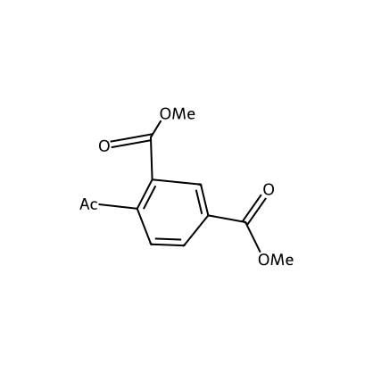 COC(=O)c1ccc(C(C)=O)c(C(=O)OC)c1